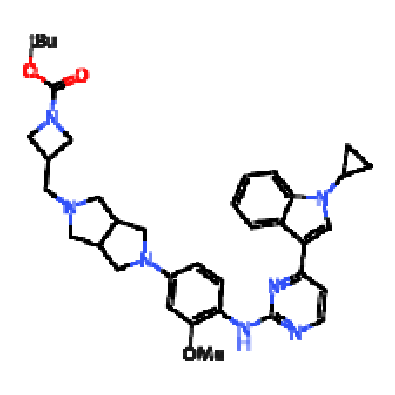 COc1cc(N2CC3CN(CC4CN(C(=O)OC(C)(C)C)C4)CC3C2)ccc1Nc1nccc(-c2cn(C3CC3)c3ccccc23)n1